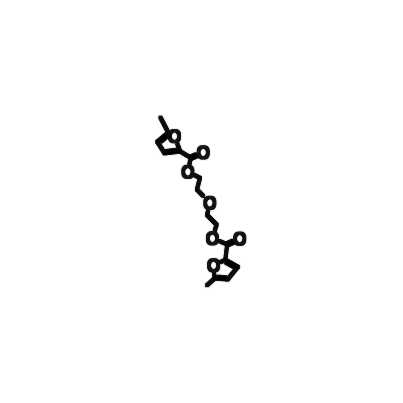 Cc1ccc(C(=O)OCCOCCOC(=O)c2ccc(C)o2)o1